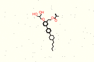 C=C(C)C(=O)OCCc1cc(-c2ccc(C3CCC(CCCCC)CC3)cc2)ccc1OCC(CO)CO